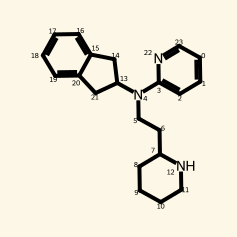 c1ccc(N(CCC2CCCCN2)C2Cc3ccccc3C2)nc1